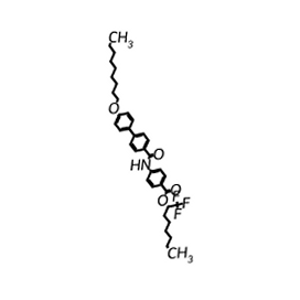 CCCCCCCCCOc1ccc(-c2ccc(C(=O)Nc3ccc(C(=O)OC(CCCCCC)C(F)(F)F)cc3)cc2)cc1